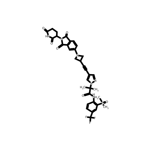 CC(C)(C(=O)Nc1ccc(C(F)(F)F)cc1P(C)(C)=O)n1cc(C#CC2CN(c3ccc4c(c3)C(=O)N(C3CCC(=O)NC3=O)C4=O)C2)cn1